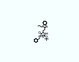 CCCn1c(CCC(NC(=O)OC(C)(C)C)C(=O)NOCc2ccccc2)nc2ccccc21